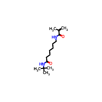 C=C(C)C(=O)NCCCCCCC(=O)NC(C)(C)C